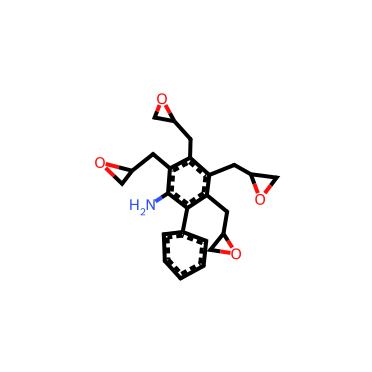 Nc1c(CC2CO2)c(CC2CO2)c(CC2CO2)c(CC2CO2)c1-c1ccccc1